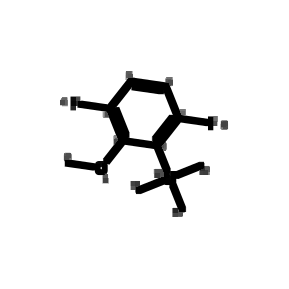 COc1c(F)ccc(F)c1[Si](C)(C)C